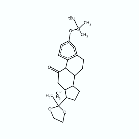 CC1(C2CCC3C4CCc5cc(O[Si](C)(C)C(C)(C)C)ccc5C4C(=O)C[C@@]32C)OCCO1